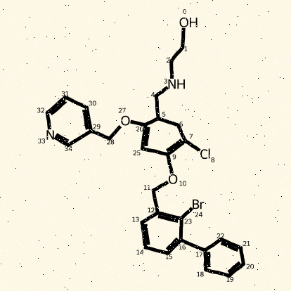 OCCNCC1CC(Cl)=C(OCc2cccc(-c3ccccc3)c2Br)C=C1OCc1cccnc1